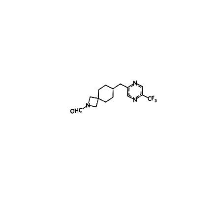 O=CN1CC2(CCC(Cc3cnc(C(F)(F)F)cn3)CC2)C1